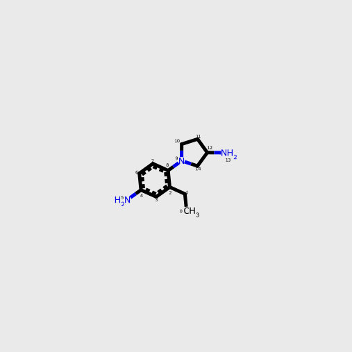 CCc1cc(N)ccc1N1CCC(N)C1